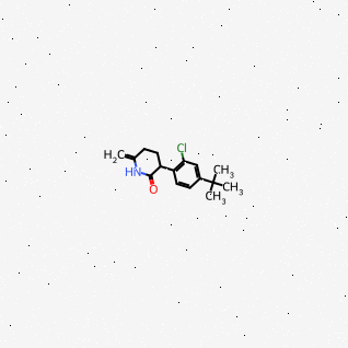 C=C1CCC(c2ccc(C(C)(C)C)cc2Cl)C(=O)N1